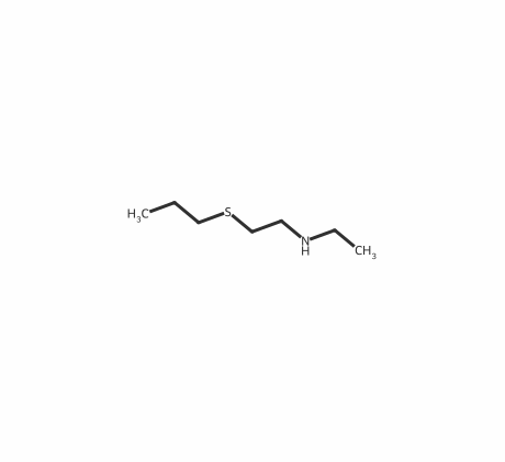 CCCSCCNCC